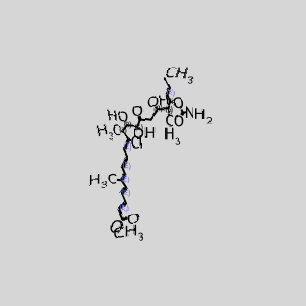 CC/C=C/[C@@H](OC(N)=O)[C@@H](C)[C@H](O)CC(=O)[C@@H](O)[C@H](O)[C@H](C)/C(Cl)=C/C=C/C=C(C)/C=C/C=C/C(=O)OC